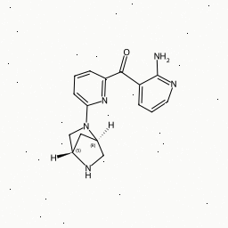 Nc1ncccc1C(=O)c1cccc(N2C[C@@H]3C[C@@H]2CN3)n1